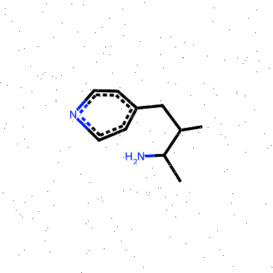 CC(N)C(C)Cc1ccncc1